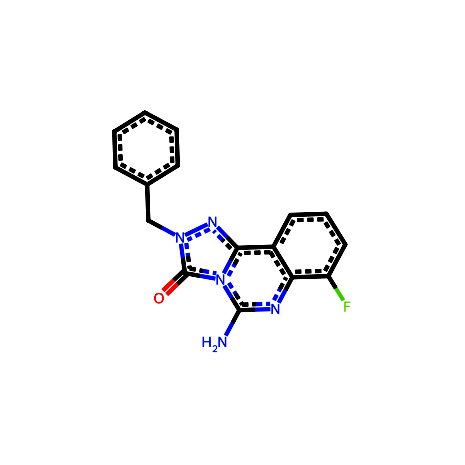 Nc1nc2c(F)cccc2c2nn(Cc3ccccc3)c(=O)n12